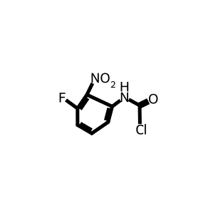 O=C(Cl)Nc1cccc(F)c1[N+](=O)[O-]